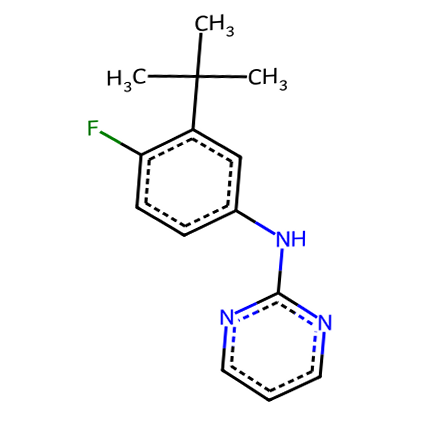 CC(C)(C)c1cc(Nc2ncccn2)ccc1F